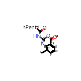 CCCCCC(=O)Nc1nc2c(C)cccc2c(=O)o1